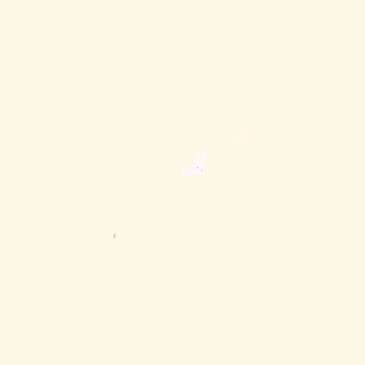 CC(C)CSc1cccc(O)n1